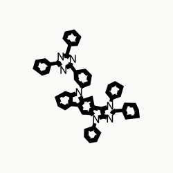 c1ccc(-c2nc(-c3ccccc3)nc(-c3cccc(-n4c5ccccc5c5cc6c(cc54)c4c(nc(-c5ccccc5)n4-c4ccccc4)n6-c4ccccc4)c3)n2)cc1